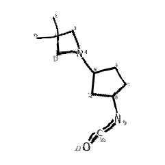 CC1(C)CN(C2CCC(N=C=O)C2)C1